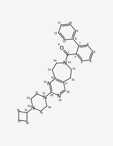 O=C(c1ccccc1-c1ccccc1)N1CCc2cnc(N3CCN(C4CCC4)CC3)nc2CC1